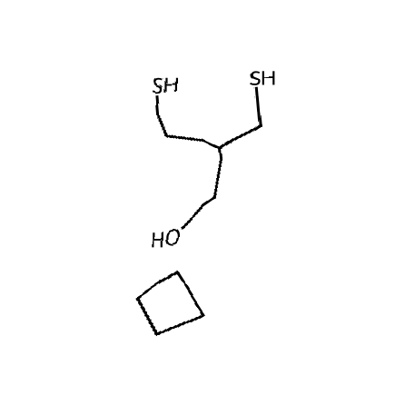 C1CCC1.OCC(CS)CS